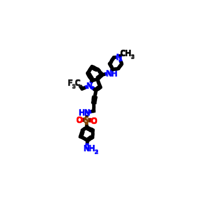 CN1CCC(Nc2cccc3c2cc(C#CCNS(=O)(=O)c2ccc(N)cc2)n3CC(F)(F)F)CC1